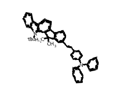 CC1(C)c2cc(/C=C/c3ccc(N(c4ccccc4)c4ccccc4)cc3)ccc2-c2ccc3c4ccccc4n(C(C)(C)C)c3c21